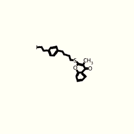 Cc1c(SCCCCc2ccc(CCI)cc2)oc2ccccc2c1=O